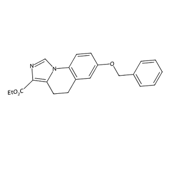 CCOC(=O)c1ncn2c1CCc1cc(OCc3ccccc3)ccc1-2